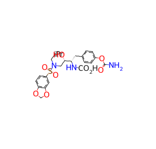 CC(C)CN(C[C@H](O)[C@H](Cc1ccc(OC(N)=O)cc1)NC(=O)O)S(=O)(=O)c1ccc2c(c1)OCO2